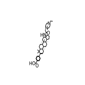 CCN1CCN(CC(=O)N[C@]23CCCC2[C@@]2(C)CCC4[C@@]5(C)CC=C(c6ccc(C(=O)O)cc6)C(C)(C)C5CC[C@@]4(C)[C@]2(C)CC3)CC1